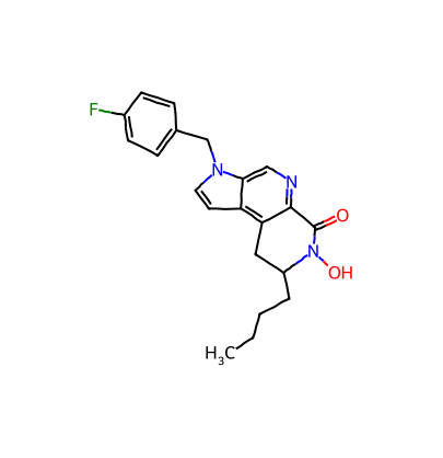 CCCCC1Cc2c(ncc3c2ccn3Cc2ccc(F)cc2)C(=O)N1O